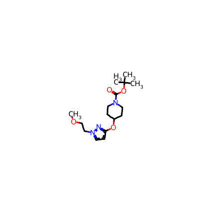 COCCn1ccc(OC2CCN(C(=O)OC(C)(C)C)CC2)n1